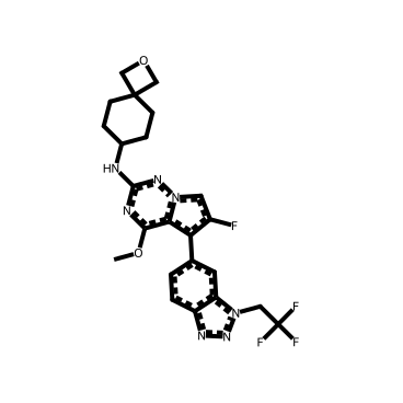 COc1nc(NC2CCC3(CC2)COC3)nn2cc(F)c(-c3ccc4nnn(CC(F)(F)F)c4c3)c12